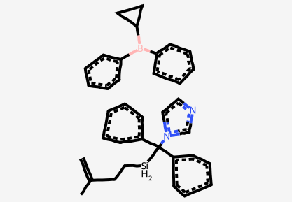 C=C(C)CC[SiH2]C(c1ccccc1)(c1ccccc1)n1ccnc1.c1ccc(B(c2ccccc2)C2CC2)cc1